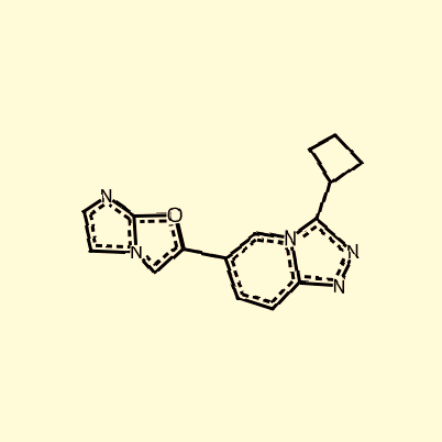 c1cn2cc(-c3ccc4nnc(C5CCC5)n4c3)oc2n1